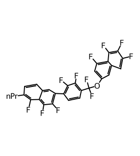 CCCc1ccc2cc(-c3ccc(C(F)(F)Oc4cc(F)c5c(F)c(F)c(F)cc5c4)c(F)c3F)c(F)c(F)c2c1F